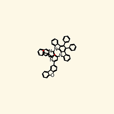 c1ccc(-c2cc(-n3c4ccccc4c4c(-c5ccccc5)c(-c5ccccc5)c5c6ccccc6n(-c6cccc(-c7ccccc7)n6)c5c43)cc(-c3ccc4oc5ccccc5c4c3)n2)cc1